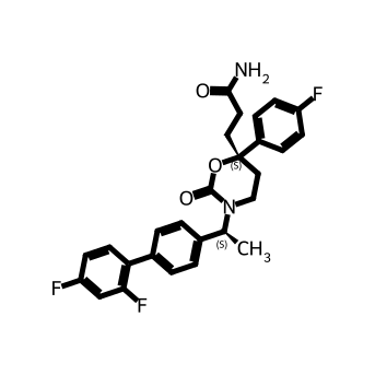 C[C@@H](c1ccc(-c2ccc(F)cc2F)cc1)N1CC[C@@](CCC(N)=O)(c2ccc(F)cc2)OC1=O